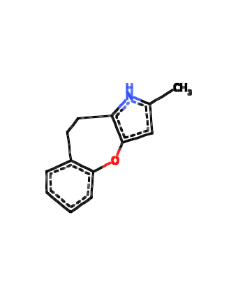 Cc1cc2c([nH]1)CCc1ccccc1O2